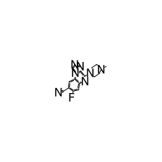 CN1CCN(c2nc3cc(F)c(C#N)cc3n3cnnc23)CC1